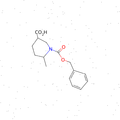 CC1CCC(C(=O)O)CN1C(=O)OCc1ccccc1